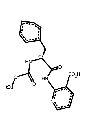 CC(C)(C)OC(=O)N[C@@H](Cc1ccccc1)C(=O)Nc1ncccc1C(=O)O